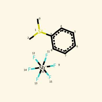 C[S+](C)c1ccccc1.[F][Sb-]([F])([F])([F])([F])[F]